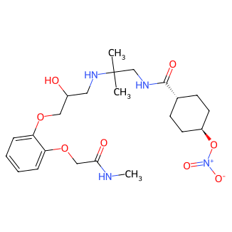 CNC(=O)COc1ccccc1OCC(O)CNC(C)(C)CNC(=O)[C@H]1CC[C@H](O[N+](=O)[O-])CC1